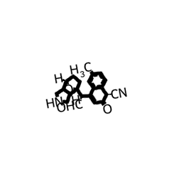 Cc1ccc2c(c1)C([C@@H]([C]=O)C13CC[C@H](O1)C1CNC[C@H]13)=CC(=O)[C@H]2C#N